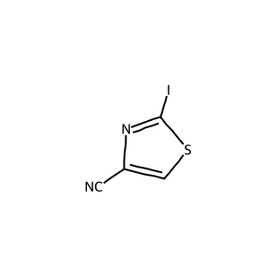 N#Cc1csc(I)n1